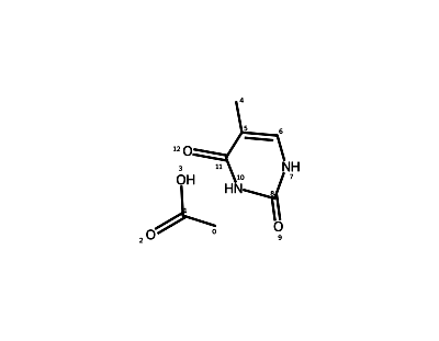 CC(=O)O.Cc1c[nH]c(=O)[nH]c1=O